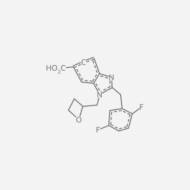 O=C(O)c1ccc2nc(Cc3cc(F)ccc3F)n(CC3CCO3)c2c1